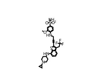 COc1cc(S(N)(=O)=O)ccc1NCC#Cc1sc2c(NC3CCN(C4CC4)CC3)cccc2c1CC(F)(F)F